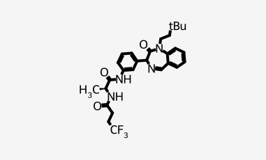 C[C@H](NC(=O)CCC(F)(F)F)C(=O)Nc1cccc(C2N=Cc3ccccc3N(CCC(C)(C)C)C2=O)c1